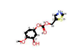 COc1ccc(OC(=O)OCc2cncs2)cc1O